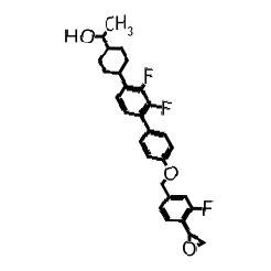 CC(O)C1CCC(c2ccc(-c3ccc(OCc4ccc(C5CO5)c(F)c4)cc3)c(F)c2F)CC1